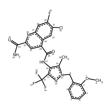 COc1ccccc1Cn1nc(C(F)(F)F)c(NC(=O)c2cc(C(N)=O)nc3cc(F)c(Cl)cc23)c1C